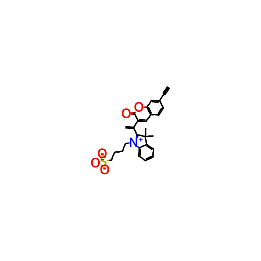 C#Cc1ccc2cc(C(=C)C3=[N+](CCCCS(=O)(=O)[O-])c4ccccc4C3(C)C)c(=O)oc2c1